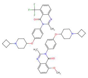 COc1cccc2nc(C)n(-c3ccc(OC4CCN(C5CCC5)CC4)cc3)c(=O)c12.Cc1nc2cccc(C(F)(F)F)c2c(=O)n1-c1ccc(OC2CCN(C3CCC3)CC2)cc1